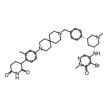 Cc1cc(N2CCC3(CCN(Cc4ccc([C@H]5C[C@@H](Nc6cnn(C)c(=O)c6Br)CN(C)C5)cc4)CC3)CC2)ccc1C1CCC(=O)NC1=O